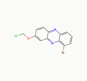 ClCOc1ccc2nc3cccc(Br)c3nc2c1